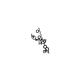 CCC(=O)CCCCC[C@H](NC(=O)[C@H]1CC12CCN(CC)CC2)c1ncc(-c2ccc3c(=O)n(CC)ccc3c2)o1